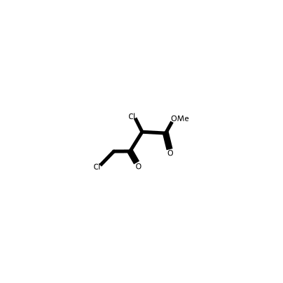 COC(=O)C(Cl)C(=O)CCl